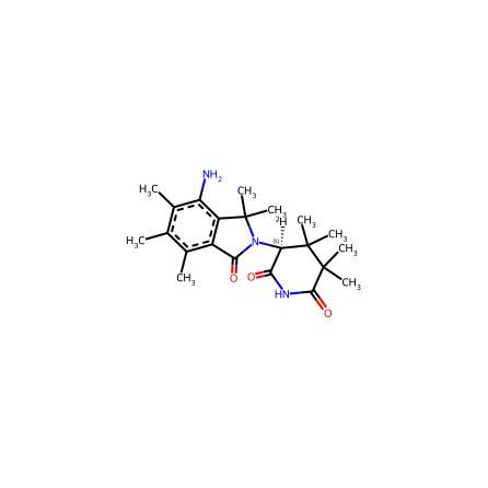 [2H][C@@]1(N2C(=O)c3c(C)c(C)c(C)c(N)c3C2(C)C)C(=O)NC(=O)C(C)(C)C1(C)C